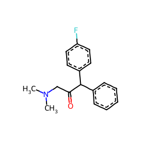 CN(C)CC(=O)C(c1ccccc1)c1ccc(F)cc1